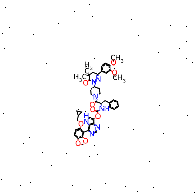 COc1ccc(C2=NN(C3CCN(C(=O)[C@@H](Cc4ccccc4)NC(=O)Oc4c[nH]c5c(-c6c(OCC7CC7)ccc7c6OCO7)ncnc45)CC3)C(=O)C(C)(C)C2)cc1OC